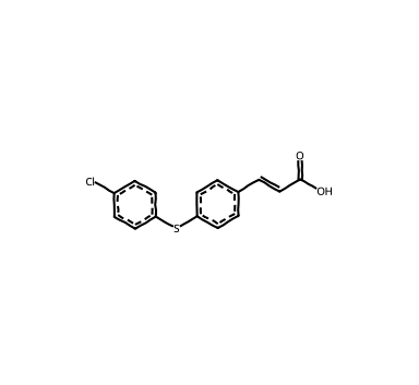 O=C(O)C=Cc1ccc(Sc2ccc(Cl)cc2)cc1